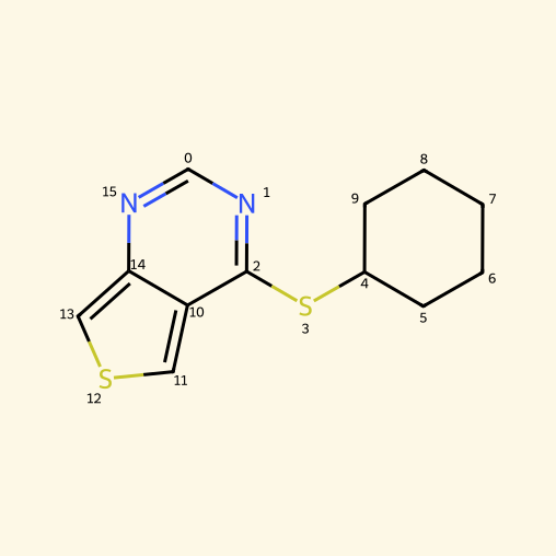 c1nc(SC2CCCCC2)c2cscc2n1